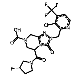 O=C(O)N1Cc2nn(Cc3nccc(C(F)(F)F)c3Cl)c(=O)n2C(C(=O)N2CC[C@H](F)C2)C1